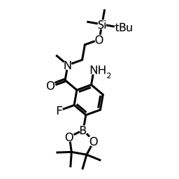 CN(CCO[Si](C)(C)C(C)(C)C)C(=O)c1c(N)ccc(B2OC(C)(C)C(C)(C)O2)c1F